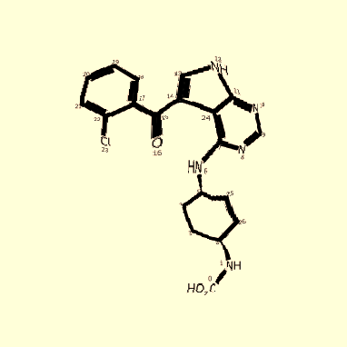 O=C(O)N[C@H]1CC[C@@H](Nc2ncnc3[nH]cc(C(=O)c4ccccc4Cl)c23)CC1